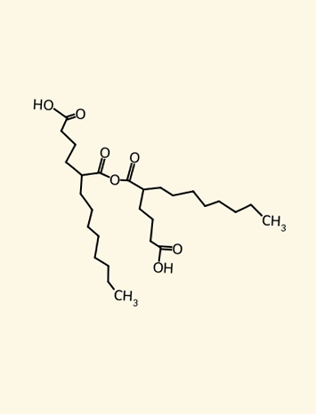 CCCCCCCCC(CCCC(=O)O)C(=O)OC(=O)C(CCCCCCCC)CCCC(=O)O